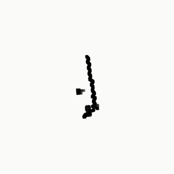 C=COC(=O)C[P+](C)(C)CCCCCCCCCCCCCCCCCC.[Br-]